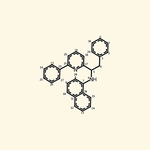 c1ccc(CC(Nc2cccc3ccccc23)c2cccc(-c3ccccc3)n2)cc1